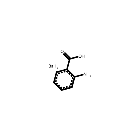 Nc1ccccc1C(=O)O.[BaH2]